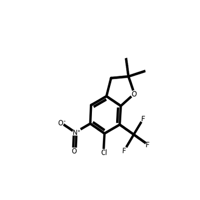 CC1(C)Cc2cc([N+](=O)[O-])c(Cl)c(C(F)(F)F)c2O1